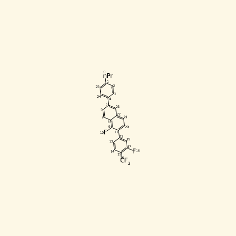 CCCc1ccc(-c2ccc3c(F)c(-c4ccc(C(F)(F)F)c(F)c4)ccc3c2)cc1